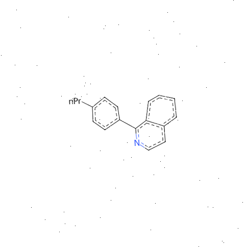 CCCc1ccc(-c2nccc3ccccc23)cc1